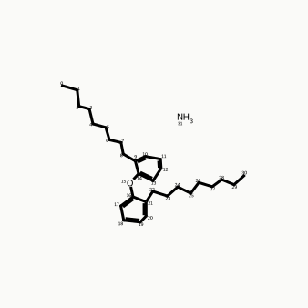 CCCCCCCCCc1ccccc1Oc1ccccc1CCCCCCCCC.N